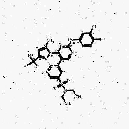 CCN(CC)S(=O)(=O)c1cncc(-c2cnc(Nc3ccc(F)c(Cl)c3)nc2-n2nc(C(F)(F)F)cc2C)c1